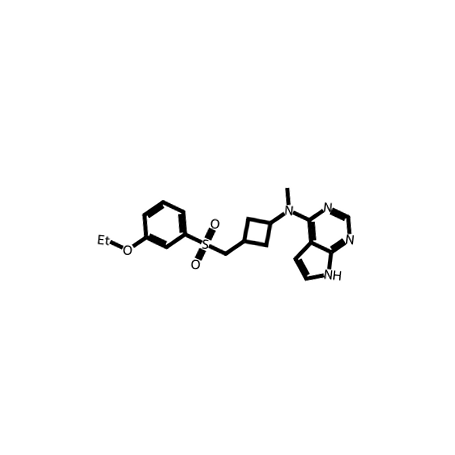 CCOc1cccc(S(=O)(=O)CC2CC(N(C)c3ncnc4[nH]ccc34)C2)c1